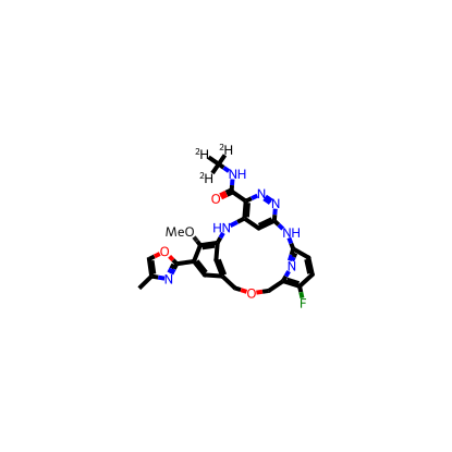 [2H]C([2H])([2H])NC(=O)c1nnc2cc1Nc1cc(cc(-c3nc(C)co3)c1OC)COCc1nc(ccc1F)N2